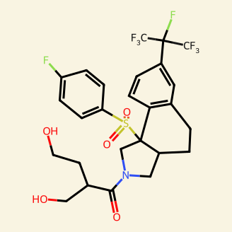 O=C(C(CO)CCO)N1CC2CCc3cc(C(F)(C(F)(F)F)C(F)(F)F)ccc3C2(S(=O)(=O)c2ccc(F)cc2)C1